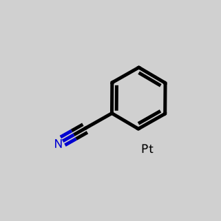 N#Cc1ccccc1.[Pt]